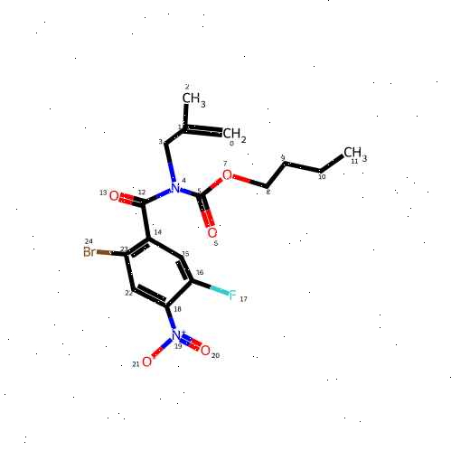 C=C(C)CN(C(=O)OCCCC)C(=O)c1cc(F)c([N+](=O)[O-])cc1Br